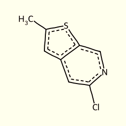 Cc1cc2cc(Cl)ncc2s1